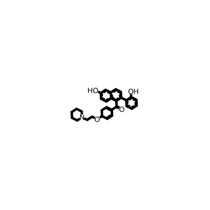 O=C(C1=CCC(OCCN2CCCCC2)C=C1)c1c(-c2ccccc2O)ccc2cc(O)ccc12